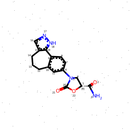 NC(=O)[C@H]1CN(c2ccc3c(c2)CCCc2cn[nH]c2-3)C(=O)O1